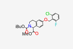 COC(=O)C1c2ccc(OCc3c(F)cccc3Cl)cc2CCN1C(=O)OCC(C)C